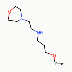 CCCC(C)OCCCNCCN1CCOCC1